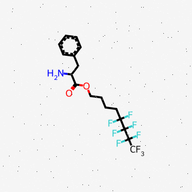 NC(Cc1ccccc1)C(=O)OCCCCC(F)(F)C(F)(F)C(F)(F)C(F)(F)F